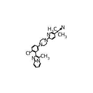 Cc1c(-c2cc(N3CCN(c4ccc(C(C)(C)C#N)cn4)CC3)ccc2Cl)nc2ccccn12